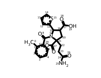 Cc1ccccc1C(=O)N1C(c2cccs2)C(C(=O)O)CC1(CCC(N)=O)C(=O)O